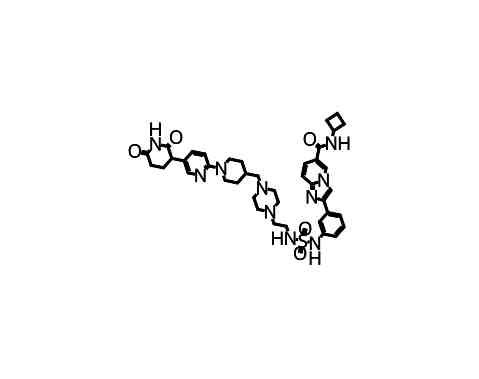 O=C1CCC(c2ccc(N3CCC(CN4CCN(CCNS(=O)(=O)Nc5cccc(-c6cn7cc(C(=O)NC8CCC8)ccc7n6)c5)CC4)CC3)nc2)C(=O)N1